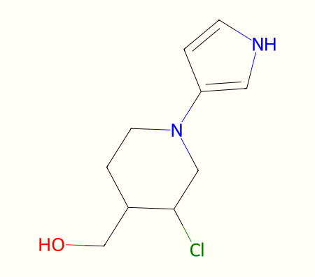 OCC1CCN(c2cc[nH]c2)CC1Cl